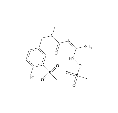 CC(C)c1ccc(CN(C)C(=O)N=C(N)NOS(C)(=O)=O)cc1S(C)(=O)=O